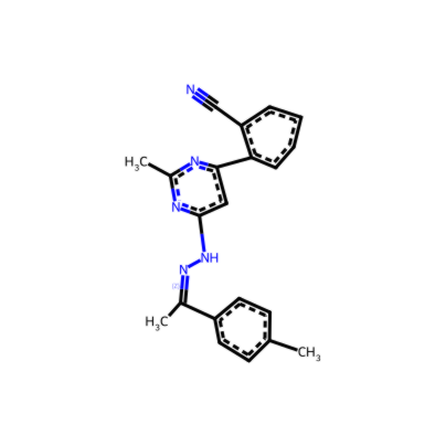 C/C(=N/Nc1cc(-c2ccccc2C#N)nc(C)n1)c1ccc(C)cc1